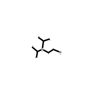 CC(C)N(CCBr)C(C)C